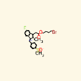 CC1=C(CC(=O)OCCCCBr)c2cc(F)ccc2/C1=C/c1ccc([S+](C)[O-])cc1